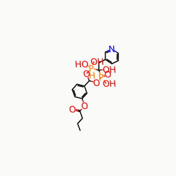 CCCC(=O)Oc1cccc(C2OP(=O)(O)C(O)(Cc3cccnc3)[PH](O)(O)O2)c1